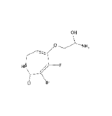 NC(O)COC1=CCPC(Cl)C(Br)=C1F